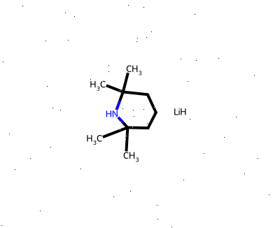 CC1(C)CCCC(C)(C)N1.[LiH]